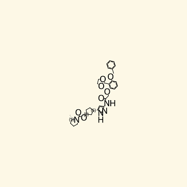 C[C@H]1CCCN1C(=O)O[C@@H]1CC[C@H](c2cc(NC(=O)COc3cccc(OCc4ccccc4)c3C3OCCO3)n[nH]2)C1